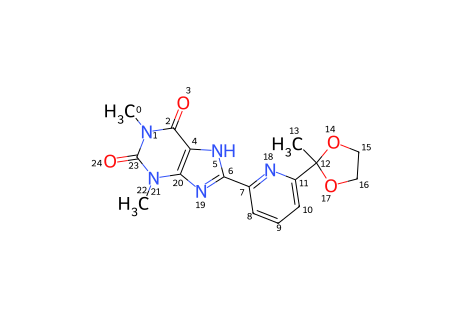 Cn1c(=O)c2[nH]c(-c3cccc(C4(C)OCCO4)n3)nc2n(C)c1=O